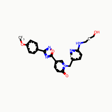 O=c1ccc(-c2nc(-c3ccc(OC(F)(F)F)cc3)no2)cn1Cc1ccc(NCCCO)nc1